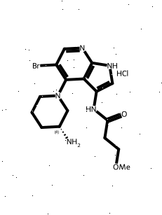 COCCC(=O)Nc1c[nH]c2ncc(Br)c(N3CCC[C@@H](N)C3)c12.Cl